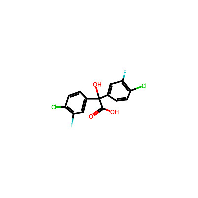 O=C(O)C(O)(c1ccc(Cl)c(F)c1)c1ccc(Cl)c(F)c1